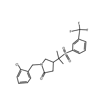 CC(C)(C1CC(=O)N(Cc2ccccc2Cl)C1)S(=O)(=O)c1cccc(C(F)(F)F)c1